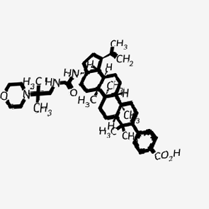 C=C(C)[C@@H]1CC[C@]2(NC(=O)NCC(C)(C)N3CCOCC3)CC[C@]3(C)[C@H](CC[C@@H]4[C@@]5(C)CC=C(c6ccc(C(=O)O)cc6)C(C)(C)[C@@H]5CC[C@]43C)[C@@H]12